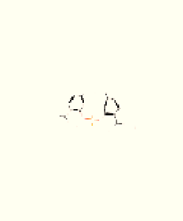 Cc1ccc(C(C)C)c(OP(=S)(Cl)Oc2cc(C)ccc2C(C)C)c1